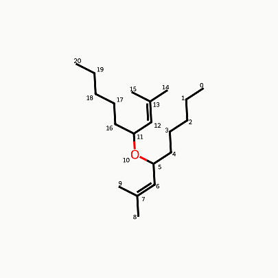 CCCCCC(C=C(C)C)OC(C=C(C)C)CCCCC